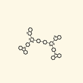 c1ccc2ncc(-c3cc(-c4ccc(-c5ccc(-c6cc(-c7cnc8ccccc8c7)nc(-c7ccc(-n8c9ccccc9c9ccccc98)cc7)n6)cc5)cc4)nc(-c4ccc(-n5c6ccccc6c6ccccc65)cc4)n3)cc2c1